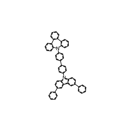 c1ccc(-c2ccc3c(c2)c2cc(-c4ccccc4)ccc2n3-c2ccc(-c3ccc(N4c5ccccc5-c5ccccc5-c5ccccc54)cc3)cc2)cc1